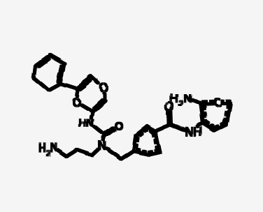 NCCCN(Cc1ccc(C(=O)Nc2ccccc2N)cc1)C(=O)NC1=COC=C(C2=CC=CCC2)O1